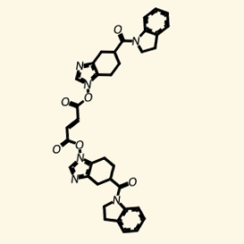 O=C(/C=C/C(=O)On1cnc2c1CCC(C(=O)N1CCc3ccccc31)C2)On1cnc2c1CCC(C(=O)N1CCc3ccccc31)C2